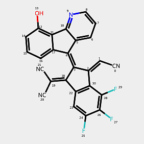 N#C/C=C1/C(=C2\c3cccnc3-c3c(O)cccc32)C(=C(C#N)C#N)c2cc(F)c(F)c(F)c21